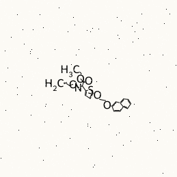 C=CCON=C(C(=O)OCC)c1ccc(OCCOc2ccc3ccccc3c2)s1